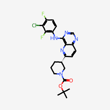 CC(C)(C)OC(=O)N1CCC[C@H](c2ccc3ncnc(Nc4ccc(F)c(Cl)c4F)c3n2)C1